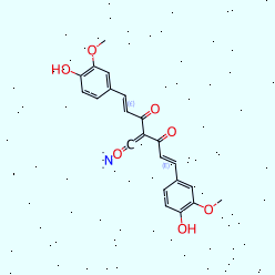 COc1cc(/C=C/C(=O)C(=C=O)C(=O)/C=C/c2ccc(O)c(OC)c2)ccc1O.[N]